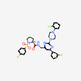 O=C(NCc1cc(-c2cccc(F)c2)nc(N2CCN(c3ccccc3F)CC2)n1)[C@@H]1CCCN1S(=O)(=O)c1ccc(F)cc1